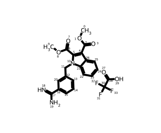 COC(=O)c1c(C(=O)OC)n(Cc2cccc(C(=N)N)c2)c2ccccc12.O=C(O)C(F)(F)F